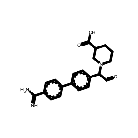 N=C(N)c1ccc(-c2ccc(C(C=O)N3CCCC(C(=O)O)C3)cc2)cc1